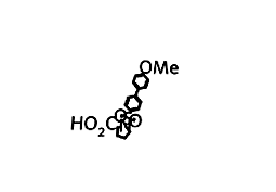 COc1ccc(-c2ccc(S(=O)(=O)N3CCC[C@H]3C(=O)O)cc2)cc1